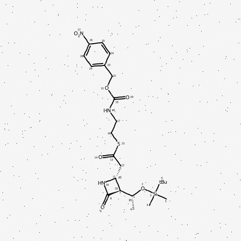 C[C@@H](O[Si](C)(C)C(C)(C)C)[C@H]1C(=O)N[C@@H]1CC(=O)SCCNC(=O)OCc1ccc([N+](=O)[O-])cc1